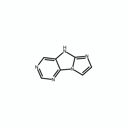 c1cn2c(n1)[nH]c1cncnc12